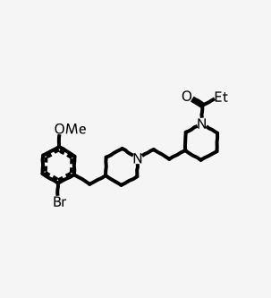 CCC(=O)N1CCCC(CCN2CCC(Cc3cc(OC)ccc3Br)CC2)C1